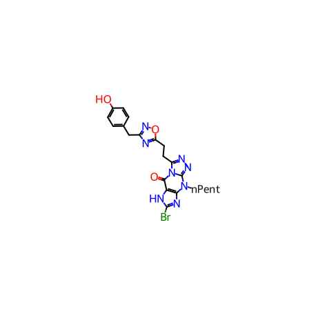 CCCCCn1c2nc(Br)[nH]c2c(=O)n2c(CCc3nc(Cc4ccc(O)cc4)no3)nnc12